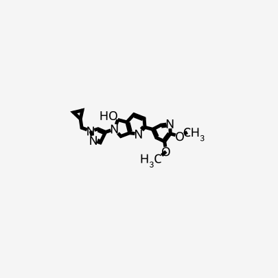 COc1cc(-c2ccc3c(n2)CN(c2cnn(CC4CC4)c2)C3O)cnc1OC